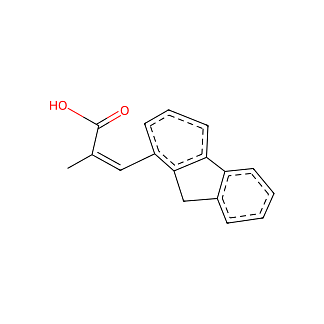 CC(=Cc1cccc2c1Cc1ccccc1-2)C(=O)O